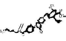 CCOc1cc(C(=O)OC)c(C2CC2)cc1CN1CCC2(CC1)CC(=O)N(c1ccc(C(=O)NCCCCS(=O)(=O)O)cc1)C2